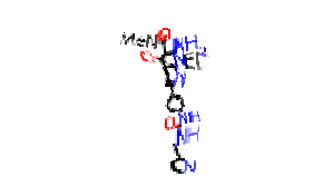 CCn1c(N)c(C(=O)NC)c(=O)c2ccc(-c3ccc(NC(=O)NCc4cccnc4)cc3)nc21